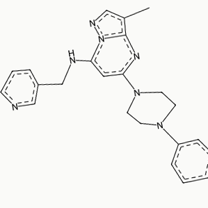 Cc1cnn2c(NCc3cccnc3)cc(N3CCN(c4ccccc4)CC3)nc12